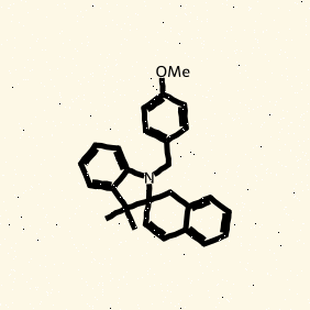 COc1ccc(CN2c3ccccc3C(C)(C)C23C=Cc2ccccc2C3)cc1